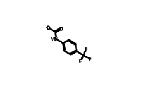 [O]C(=O)Nc1ccc(C(F)(F)F)cc1